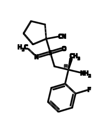 CN=S(=O)(C[C@](C)(N)c1ccccc1F)C1(C#N)CCCC1